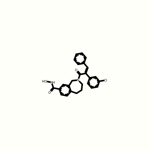 O=C(NO)c1ccc2c(c1)CN(C(=O)/C(=C\c1ccccc1)c1cccc(Cl)c1)CCC2